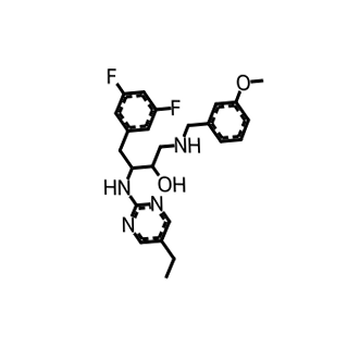 CCc1cnc(NC(Cc2cc(F)cc(F)c2)C(O)CNCc2cccc(OC)c2)nc1